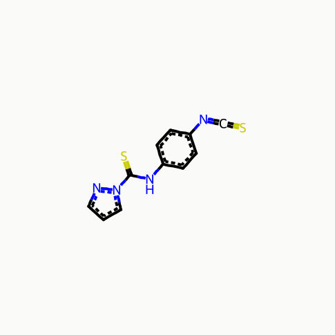 S=C=Nc1ccc(NC(=S)n2cccn2)cc1